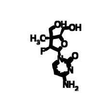 C[C@]1(CO)[C@H](F)[C@H](n2ccc(N)nc2=O)O[C@@H]1CO